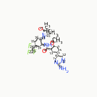 COc1ccc(-c2cnc(N)nc2)cc1C(=O)Nc1cc(C(F)(F)F)ccc1N1CC(C)(C)C1=O